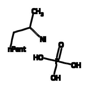 CCCCCC[CH](C)[Ni].O=P(O)(O)O